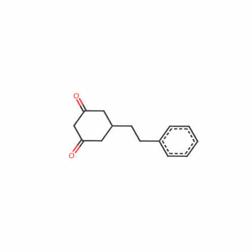 O=C1CC(=O)CC(CCc2ccccc2)C1